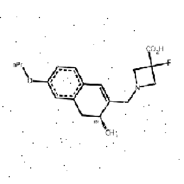 CCCOc1ccc2c(c1)C[C@H](C)C(CN1CC(F)(C(=O)O)C1)=C2